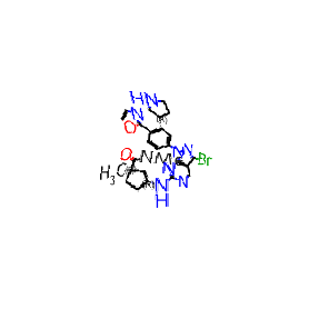 CNC(=O)[C@]1(C)CC[C@@H](Nc2ncc3c(Br)nn(-c4ccc(-c5ncco5)c([C@H]5CCNC5)c4)c3n2)C1